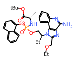 CCOCc1nc2c(N)nc3ccccc3c2n1[C@@H](CC)COP(=O)(N[C@@H](C)C(=O)OC(C)(C)C)Oc1cccc2ccccc12